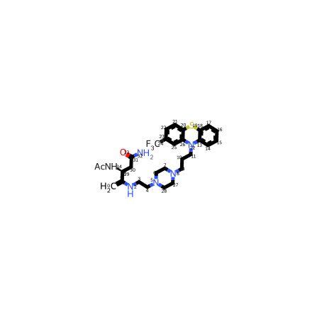 C=C(NCCN1CCN(CCCN2c3ccccc3Sc3ccc(C(F)(F)F)cc32)CC1)[C@H](CC(N)=O)NC(C)=O